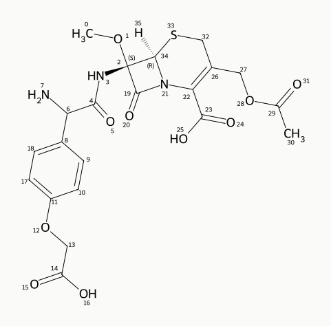 CO[C@@]1(NC(=O)C(N)c2ccc(OCC(=O)O)cc2)C(=O)N2C(C(=O)O)=C(COC(C)=O)CS[C@@H]21